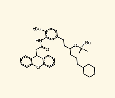 CC(C)(C)c1ccc(CC[C@H](CCCC2CCCCC2)O[Si](C)(C)C(C)(C)C)cc1NC(=O)CC1c2ccccc2Oc2ccccc21